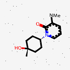 CNc1cccn([C@H]2CC[C@@](C)(O)CC2)c1=O